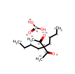 CCCCC(CCCC)(C(C)=O)C(C)=O.[O]=[Ti]([OH])[OH]